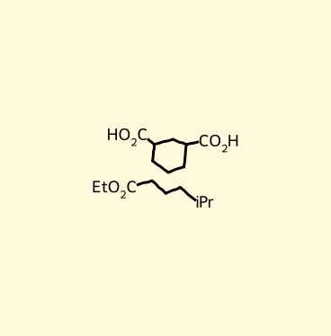 CCOC(=O)CCCC(C)C.O=C(O)C1CCCC(C(=O)O)C1